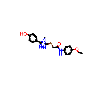 CCOc1ccc(NC(=O)CSc2nnc(-c3ccc(O)cc3)n2C)cc1